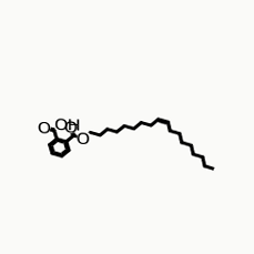 CCCCCCCC/C=C\CCCCCCCCOC(=O)c1ccccc1C(=O)O